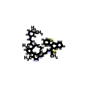 C=C(\C=C/C=C/C=C/C=c1\c(=C)sc2c3ccccc3c3sc4ccccc4c3c12)c1ccccccc(/C(C)=C/C=C(/C=C\C)CCC)c2ccccc12